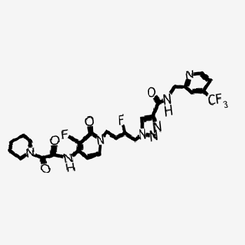 O=C(Nc1ccn(CCC(F)Cn2cc(C(=O)NCc3cc(C(F)(F)F)ccn3)nn2)c(=O)c1F)C(=O)N1CCCCC1